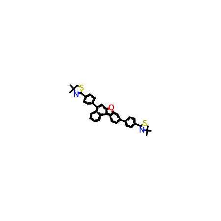 CC1(C)CSC(c2ccc(-c3ccc4c(c3)oc3cc(-c5ccc(C6=NC(C)(C)CS6)cc5)c5ccccc5c34)cc2)=N1